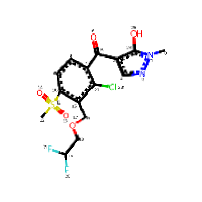 Cn1ncc(C(=O)c2ccc(S(C)(=O)=O)c(COCC(F)F)c2Cl)c1O